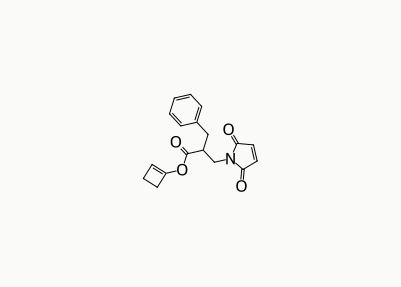 O=C(OC1=CCC1)C(Cc1ccccc1)CN1C(=O)C=CC1=O